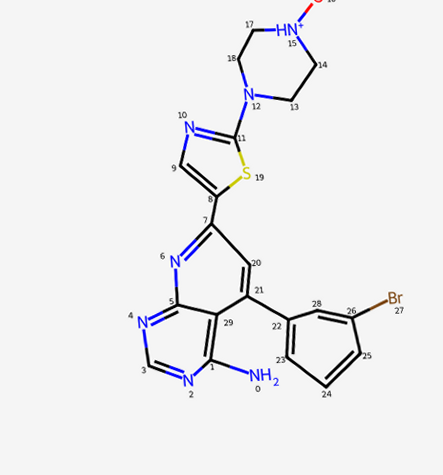 Nc1ncnc2nc(-c3cnc(N4CC[NH+]([O-])CC4)s3)cc(-c3cccc(Br)c3)c12